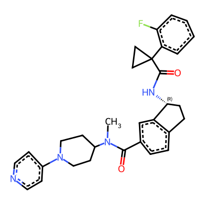 CN(C(=O)c1ccc2c(c1)[C@H](NC(=O)C1(c3ccccc3F)CC1)CC2)C1CCN(c2ccncc2)CC1